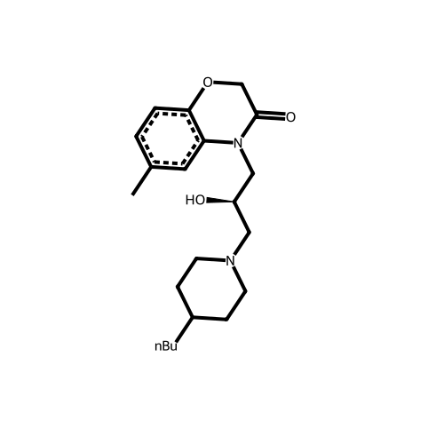 CCCCC1CCN(C[C@@H](O)CN2C(=O)COc3ccc(C)cc32)CC1